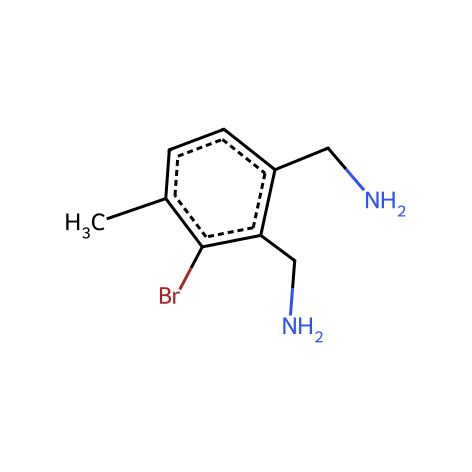 Cc1ccc(CN)c(CN)c1Br